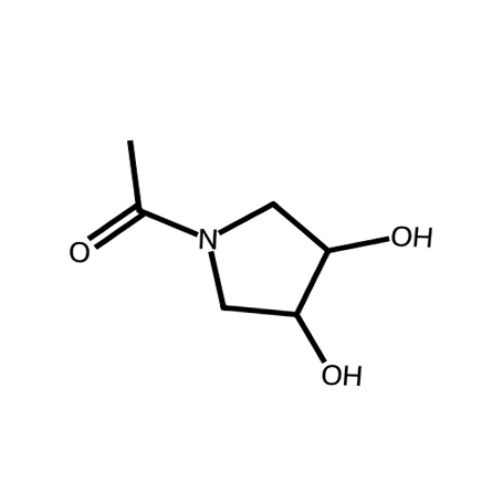 CC(=O)N1CC(O)C(O)C1